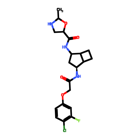 CC1NCC(C(=O)NC2C[C@H](NC(=O)COc3ccc(Cl)c(F)c3)C3CCC23)O1